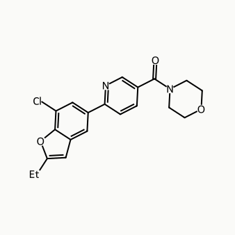 CCc1cc2cc(-c3ccc(C(=O)N4CCOCC4)cn3)cc(Cl)c2o1